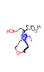 C1COCCN1.N[C@@H](CO)C(=O)O